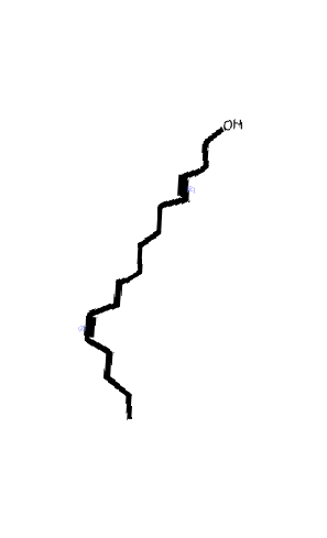 CCCC/C=C\CCCCCC/C=C/CCO